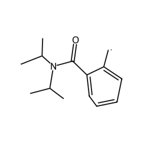 [CH2]c1ccccc1C(=O)N(C(C)C)C(C)C